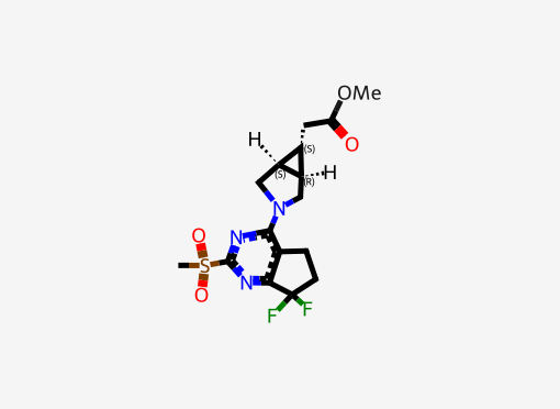 COC(=O)C[C@@H]1[C@H]2CN(c3nc(S(C)(=O)=O)nc4c3CCC4(F)F)C[C@@H]12